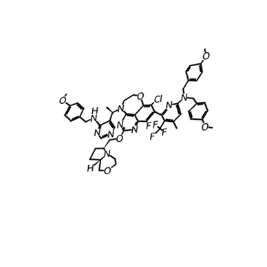 COc1ccc(CNc2ncncc2[C@@H](C)N2CCOc3c(Cl)c(-c4nc(N(Cc5ccc(OC)cc5)Cc5ccc(OC)cc5)cc(C)c4C(F)(F)F)c(F)c4nc(OC[C@@H]5CC[C@H]6COCCN65)nc2c34)cc1